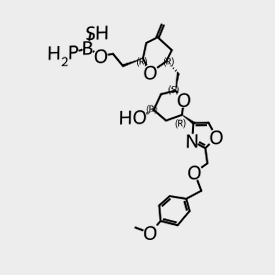 C=C1C[C@H](C[C@@H]2C[C@@H](O)C[C@H](c3coc(COCc4ccc(OC)cc4)n3)O2)O[C@@H](CCOB(P)S)C1